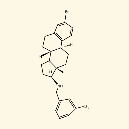 C[C@]12CC[C@@H]3c4ccc(Br)cc4CC[C@H]3[C@@H]1CC[C@@H]2NCc1cccc(C(F)(F)F)c1